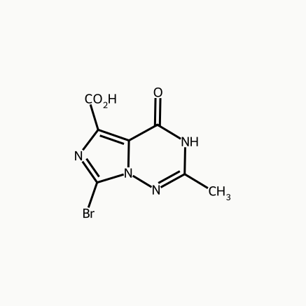 Cc1nn2c(Br)nc(C(=O)O)c2c(=O)[nH]1